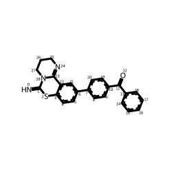 N=C1Sc2ccc(-c3ccc(C(=O)c4ccccc4)cc3)cc2C2=NCCCN12